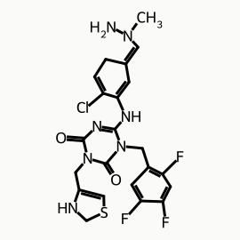 CN(N)/C=C1/C=C(Nc2nc(=O)n(CC3=CSCN3)c(=O)n2Cc2cc(F)c(F)cc2F)C(Cl)=CC1